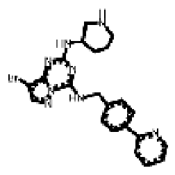 Brc1cnn2c(NCc3ccc(-c4ccccn4)cc3)nc(N[C@@H]3CCCNC3)nc12